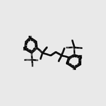 CC(C)(C)c1ncncc1C(C)(C)CCC(C)(C)c1cncnc1C(C)(C)C